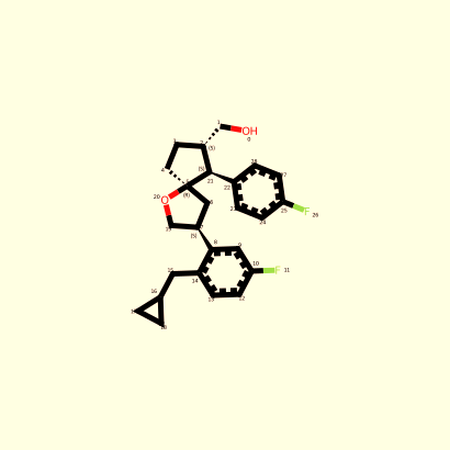 OC[C@H]1CC[C@@]2(C[C@@H](c3cc(F)ccc3CC3CC3)CO2)[C@@H]1c1ccc(F)cc1